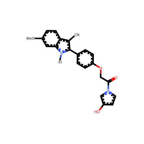 CCn1c(-c2ccc(OCC(=O)n3ccc(O)c3)cc2)c(C#N)c2ccc(OC)cc21